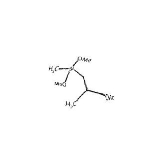 CO[Si](C)(CC(C)OC(C)=O)OC